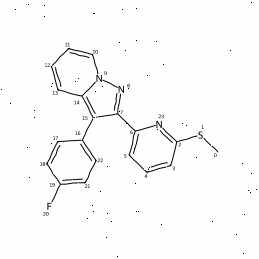 CSc1cccc(-c2nn3ccccc3c2-c2ccc(F)cc2)n1